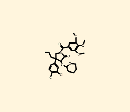 CCCC1(c2ccc(Cl)c(Cl)c2)CN(C(=O)c2cc(OC)c(OC)c(OC)c2)C(=O)C1OC1CCCCO1